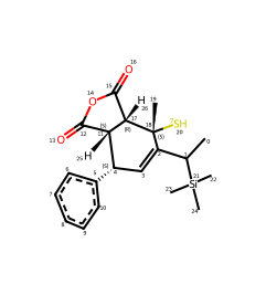 CC(C1=C[C@H](c2ccccc2)[C@@H]2C(=O)OC(=O)[C@@H]2[C@]1(C)[7SH])[Si](C)(C)C